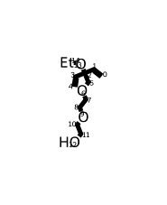 C=CC(C=C)(COCCOCCO)OCC